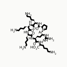 CC(=O)N1CCC[C@H]1C(=O)N[C@@H](CCCCN)C(=O)N[C@@H](CCCCN)C(=O)N[C@@H](CCCCN)C(=O)N[C@@H](CCCNC(=N)N)C(=O)N[C@@H](CCCCN)C(=O)O